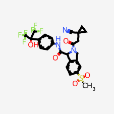 CS(=O)(=O)c1ccc2c(c1)CN(C(=O)CC1(C#N)CC1)C2C(=O)Nc1ccc(C(O)(C(F)(F)F)C(F)(F)F)cc1